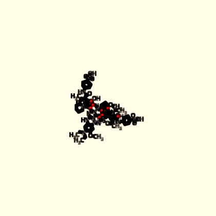 CCN(CC)c1cc(Nc2nc(Nc3cc(N(CC)CC)c(OC)cc3/N=N/c3nc(N4CCCCC4)c(C(C(C)=O)C(=O)Nc4ccc(S(=O)(=O)O)cc4)s3)nc(N(CCO)CCO)n2)c(/N=N/c2nc(N3CCCCC3)c(/C=C(\C(C)=O)C(=O)Nc3ccc(S(=O)(=O)O)cc3)s2)cc1OC